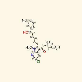 CC(CC(=O)O)CC(=O)c1c(CCCCCC(O)c2cccc(C#N)c2)n(C)c2ncc(Cl)cc12